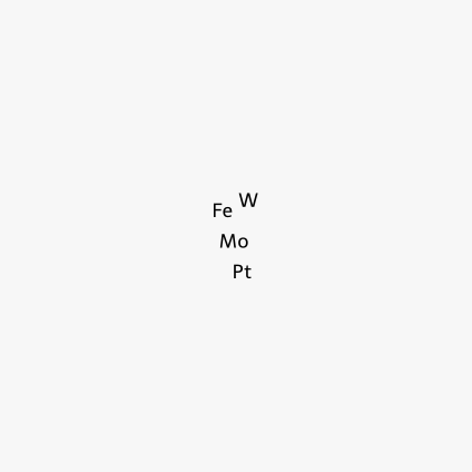 [Fe].[Mo].[Pt].[W]